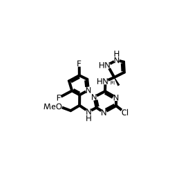 COCC(Nc1nc(Cl)nc(N[C@@]2(C)C=CNN2)n1)c1ncc(F)cc1F